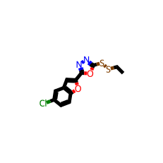 CCSSc1nnc(-c2cc3cc(Cl)ccc3o2)o1